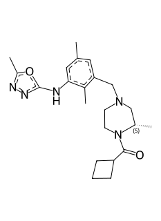 Cc1cc(CN2CCN(C(=O)C3CCC3)[C@@H](C)C2)c(C)c(Nc2nnc(C)o2)c1